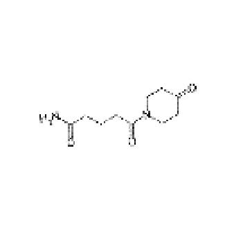 NC(=O)CCCC(=O)N1CCC(=O)CC1